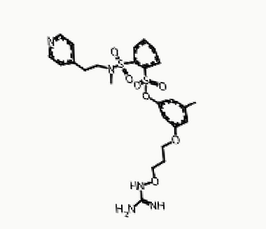 Cc1cc(OCCCONC(=N)N)cc(OS(=O)(=O)c2ccccc2S(=O)(=O)N(C)CCc2ccncc2)c1